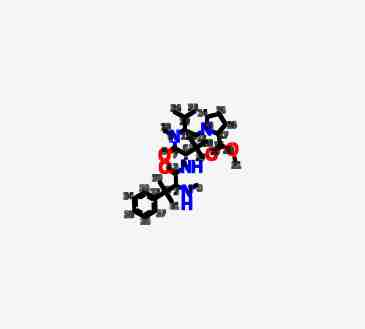 CN[C@H](C(=O)N[C@H](C(=O)N(C)[C@H](CN1CCC[C@H]1C(=O)OC)C(C)C)C(C)(C)C)C(C)(C)c1ccccc1